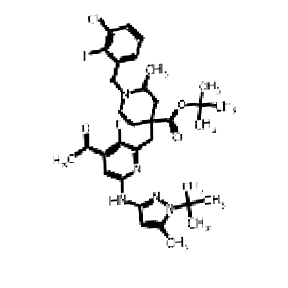 CC(=O)c1cc(Nc2cc(C)n(C(C)(C)C)n2)nc(CC2(C(=O)OC(C)(C)C)CCN(Cc3cccc(Cl)c3F)C(C)C2)c1F